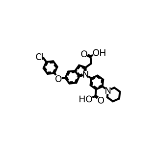 O=C(O)Cc1cc2cc(Oc3ccc(Cl)cc3)ccc2n1-c1ccc(N2CCCCC2)c(C(=O)O)c1